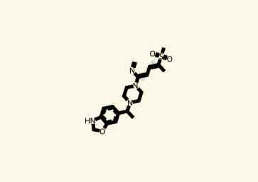 C=N/C(=C\C=C(/C)S(C)(=O)=O)N1CCN(C(C)c2ccc3c(c2)OCN3)CC1